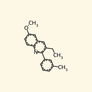 CCc1cc2cc(OC)ccc2nc1-c1cccc(C)c1